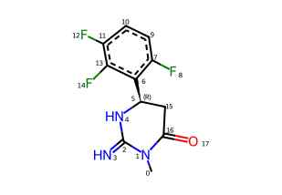 CN1C(=N)N[C@@H](c2c(F)ccc(F)c2F)CC1=O